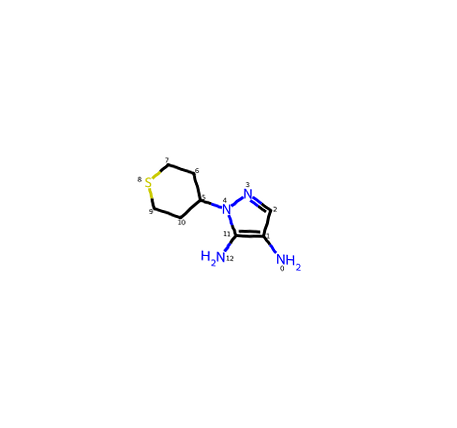 Nc1cnn(C2CCSCC2)c1N